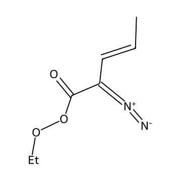 CC=CC(=[N+]=[N-])C(=O)OOCC